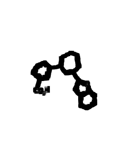 O=C(O)c1cccc(C2=CCC=CC(c3cc4ccccc4o3)=C2)c1